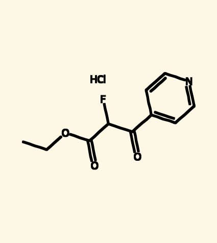 CCOC(=O)C(F)C(=O)c1ccncc1.Cl